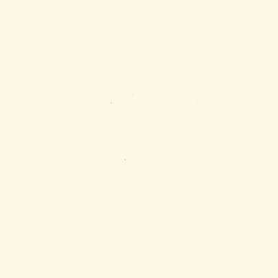 COC(C)(C)c1cc(C(C)(C)OC)cc(C(C)(C)OC)c1